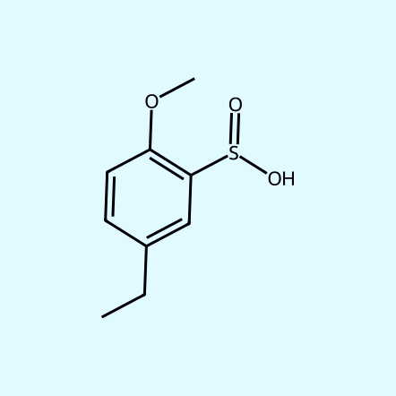 CCc1ccc(OC)c(S(=O)O)c1